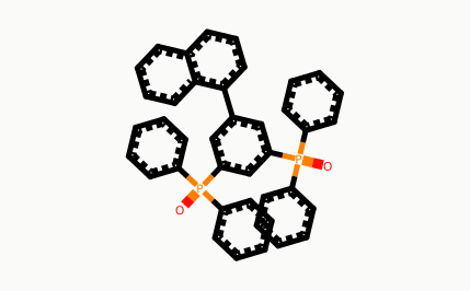 O=P(c1ccccc1)(c1ccccc1)c1cc(-c2cccc3ccccc23)cc(P(=O)(c2ccccc2)c2ccccc2)c1